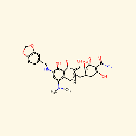 CN(C)c1cc(NCc2ccc3c(c2)OCO3)c(O)c2c1C[C@H]1CC3CC(O)=C(C(N)=O)C(=O)[C@@]3(O)C(O)=C1C2=O